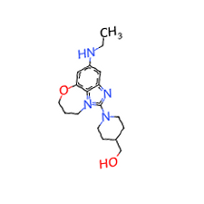 CCNc1cc2c3c(c1)nc(N1CCC(CO)CC1)n3CCCO2